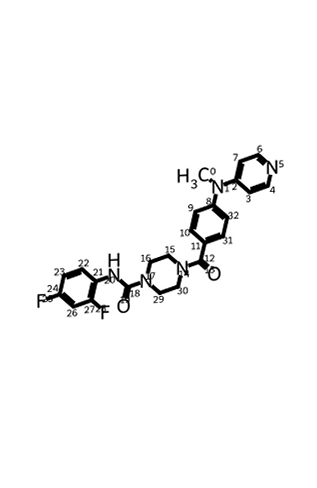 CN(c1ccncc1)c1ccc(C(=O)N2CCN(C(=O)Nc3ccc(F)cc3F)CC2)cc1